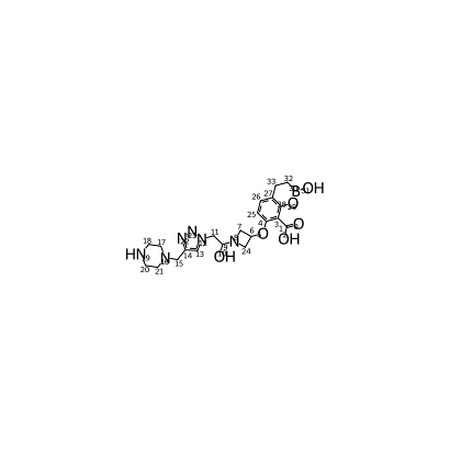 O=C(O)c1c(OC2CN(C(O)Cn3cc(CN4CCNCC4)nn3)C2)ccc2c1OB(O)CC2